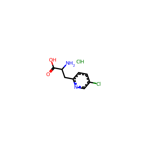 Cl.NC(Cc1ccc(Cl)cn1)C(=O)O